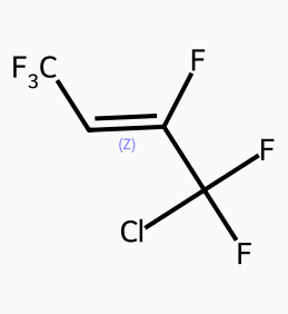 F/C(=C\C(F)(F)F)C(F)(F)Cl